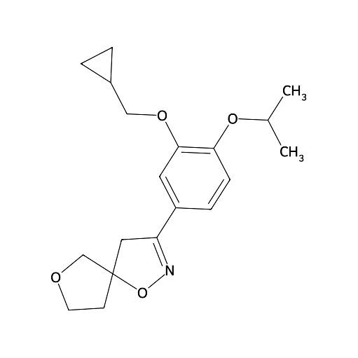 CC(C)Oc1ccc(C2=NOC3(CCOC3)C2)cc1OCC1CC1